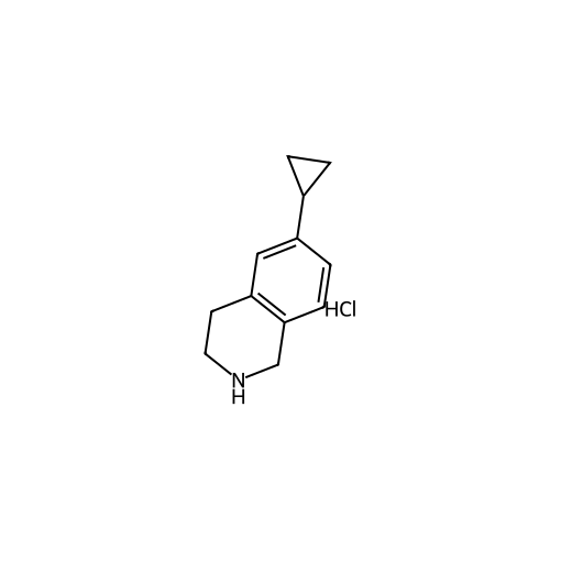 Cl.c1cc2c(cc1C1CC1)CCNC2